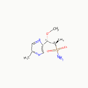 CO[C@@H](c1cnc(C)cn1)[C@@H](C)S(N)(=O)=O